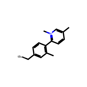 Cc1ccc(-c2ccc(CC(C)(C)C)cc2C)[n+](C)c1